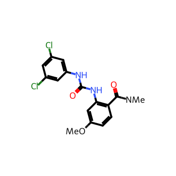 CNC(=O)c1ccc(OC)cc1NC(=O)Nc1cc(Cl)cc(Cl)c1